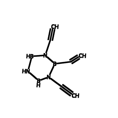 C#CB1N(C#C)BNBN1C#C